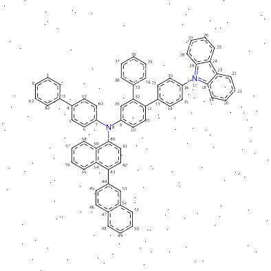 c1ccc(-c2ccc(N(c3ccc(-c4ccc(-n5c6ccccc6c6ccccc65)cc4)c(-c4ccccc4)c3)c3ccc(-c4ccc5ccccc5c4)c4ccccc34)cc2)cc1